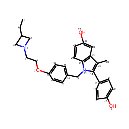 CCC1CN(CCOc2ccc(Cn3c(-c4ccc(O)cc4)c(C)c4cc(O)ccc43)cc2)C1